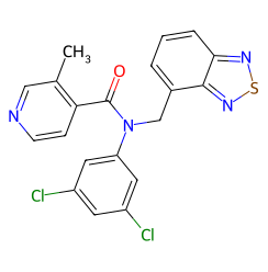 Cc1cnccc1C(=O)N(Cc1cccc2nsnc12)c1cc(Cl)cc(Cl)c1